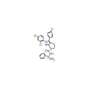 C[C@@H](NC(=O)[C@H]1CCCc2c1nn(-c1ccc(Cl)cc1Cl)c2-c1ccc(Cl)cc1)c1ccccc1